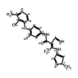 Cn1cc(N/C(=C(\C=N)C(=O)Nc2ccc(Oc3ccnc(N)c3Cl)c(F)c2)C(F)(F)F)cn1